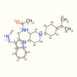 CC(=O)NCc1c(/C=N\I)c2ccccc2n1C1CCN(C2CCC(C(C)C)CC2)CC1